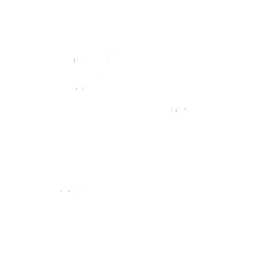 CCCCCCCCOc1cc(S(=O)(=O)C(C)C)c2oc3ccc(C(=O)O)cc3c(=O)c2c1